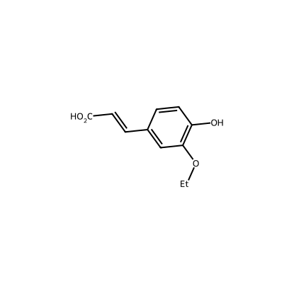 CCOc1cc(C=CC(=O)O)ccc1O